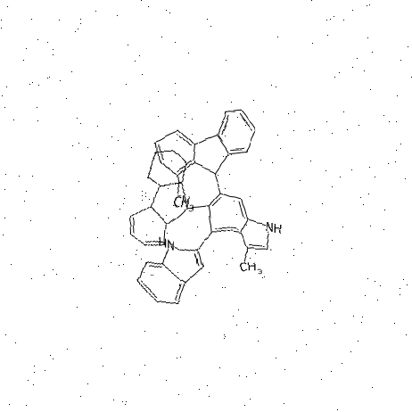 Cc1cccc2c1C(c1cc3[nH][c]c(C)c3c(-c3cc4ccccc4[nH]3)c1C1C3C=CC=CC3C3CCCCC31)c1ccccc1-2